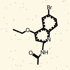 CCOc1cc(NC(C)=O)nc2ccc(Br)cc12